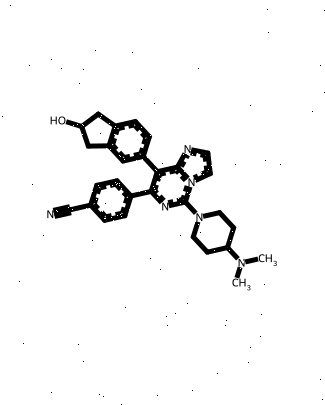 CN(C)C1CCN(c2nc(-c3ccc(C#N)cc3)c(-c3ccc4c(c3)CC(O)C4)c3nccn23)CC1